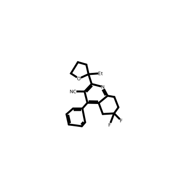 CCC1(c2nc3c(c(-c4ccccc4)c2C#N)CC(F)(F)CC3)CCCO1